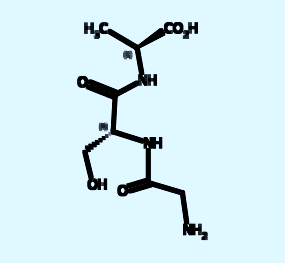 C[C@H](NC(=O)[C@@H](CO)NC(=O)CN)C(=O)O